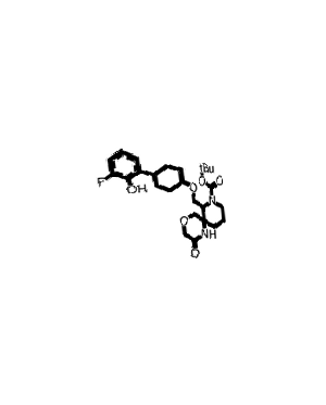 CC(C)(C)OC(=O)N1CCCC2(COCC(=O)N2)C1COC1CCC(c2cccc(F)c2O)CC1